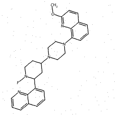 COc1ccc2cccc(N3CCN(C4CCN(F)C(c5cccc6cccnc56)C4)CC3)c2n1